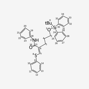 CC(C)(C)[Si](OCCCC(=CSc1ccccc1)C(=O)Nc1ccccc1)(c1ccccc1)c1ccccc1